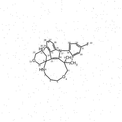 CC1(C)COCCCNC2(CCCOC2)c2c1n(-c1ccc(F)cc1)c1cccc(O)c21